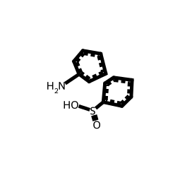 Nc1ccccc1.O=S(O)c1ccccc1